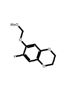 COCOc1cc2c(cc1F)OCCO2